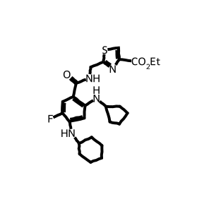 CCOC(=O)c1csc(CNC(=O)c2cc(F)c(NC3CCCCC3)cc2NC2CCCC2)n1